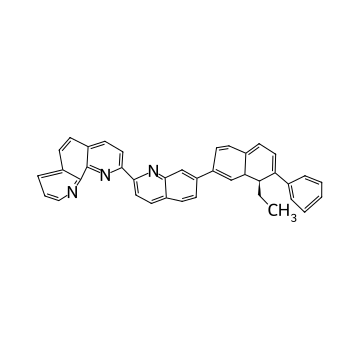 CC[C@@H]1C(c2ccccc2)=CC=C2C=CC(c3ccc4ccc(-c5ccc6ccc7cccnc7c6n5)nc4c3)=CC21